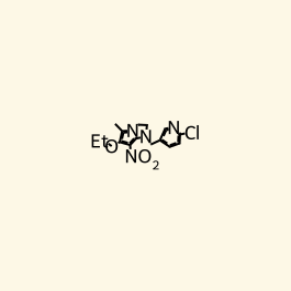 CCOc1c([N+](=O)[O-])c2n(c1C)CCN2Cc1ccc(Cl)nc1